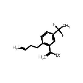 C=CCCc1ccc(C(C)(F)F)cc1C(=C)CC